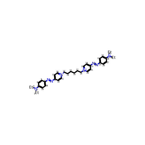 CCN(CC)c1ccc(/N=N/c2cc[n+](CCCCCC[n+]3ccc(/N=N/c4ccc(N(CC)CC)cc4)cc3)cc2)cc1